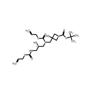 C=CCOC(=O)NC[C@@H](O)CN(CC1(O)CN(C(=O)OC(C)(C)C)C1)C(=O)OCC=C